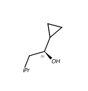 CC(C)C[C@H](O)C1CC1